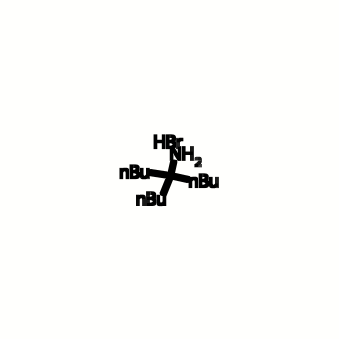 Br.CCCCC(N)(CCCC)CCCC